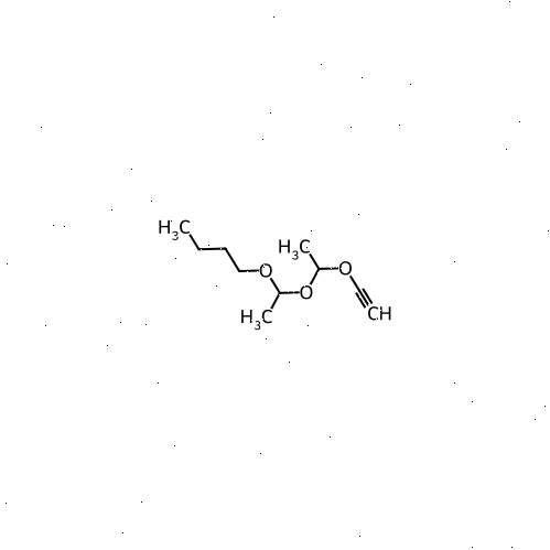 C#COC(C)OC(C)OCCCC